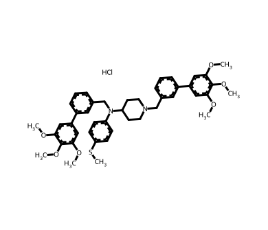 COc1cc(-c2cccc(CN3CCC(N(Cc4cccc(-c5cc(OC)c(OC)c(OC)c5)c4)c4ccc(SC)cc4)CC3)c2)cc(OC)c1OC.Cl